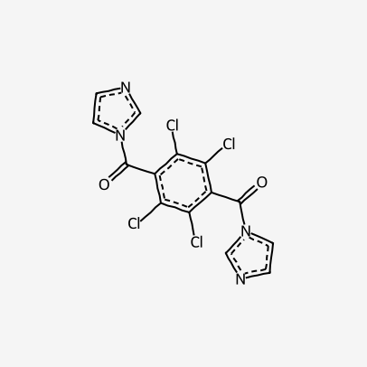 O=C(c1c(Cl)c(Cl)c(C(=O)n2ccnc2)c(Cl)c1Cl)n1ccnc1